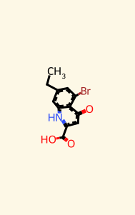 CCc1cc(Br)c2c(=O)cc(C(=O)O)[nH]c2c1